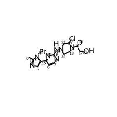 Cc1ncc(-c2ccnc(NN3CCN(C(=O)CO)C(Cl)C3)n2)n1C(C)C